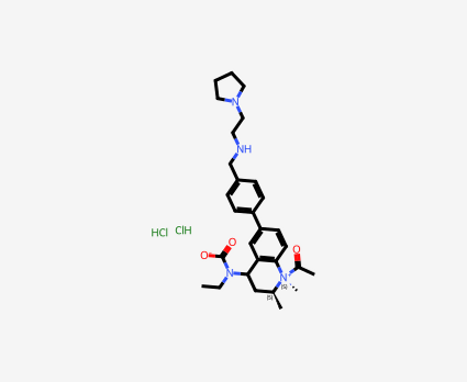 CCN(C(=O)[O-])C1C[C@H](C)[N@+](C)(C(C)=O)c2ccc(-c3ccc(CNCCN4CCCC4)cc3)cc21.Cl.Cl